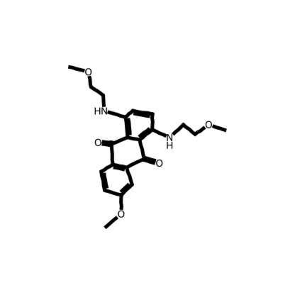 COCCNc1ccc(NCCOC)c2c1C(=O)c1ccc(OC)cc1C2=O